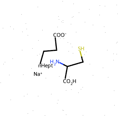 CCCCCCCCCC(=O)[O-].NC(CS)C(=O)O.[Na+]